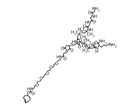 CC(C)(COC(C)(C)CC(=O)NC(CSC1CC(=O)N(CCC(=O)NCCOCCOCCOCCOCCOCCNC(=O)OC2CC/C=C/CCC2)C1=O)C(=O)NC(C)(C)COC(C)(C)CC(=O)NC(CCCCN)C(N)=O)NC(=O)CNC(=O)CNC(=O)CN